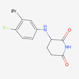 CC(C)c1cc(NC2CCC(=O)NC2=O)ccc1F